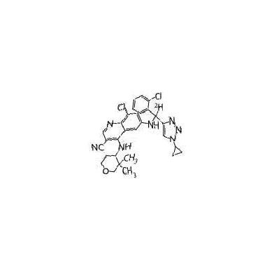 [2H]C(Nc1cc(Cl)c2ncc(C#N)c(NC3CCOCC3(C)C)c2c1)(c1cn(C2CC2)nn1)c1ccccc1Cl